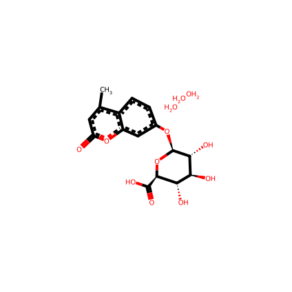 Cc1cc(=O)oc2cc(O[C@@H]3O[C@H](C(=O)O)[C@@H](O)[C@H](O)[C@H]3O)ccc12.O.O.O